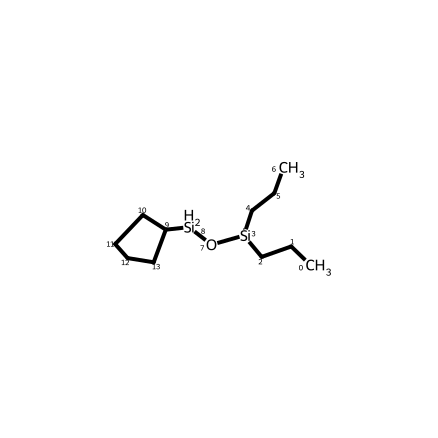 CCC[Si](CCC)O[SiH2]C1CCCC1